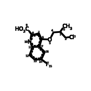 CC(CCl)COc1cc(C(=O)O)nc2ccc(F)cc12